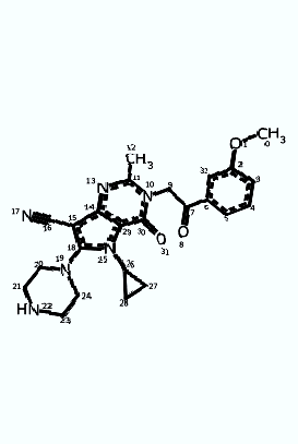 COc1cccc(C(=O)Cn2c(C)nc3c(C#N)c(N4CCNCC4)n(C4CC4)c3c2=O)c1